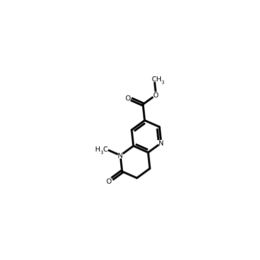 COC(=O)c1cnc2c(c1)N(C)C(=O)CC2